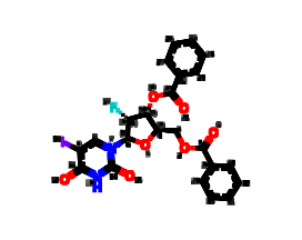 O=C(OC[C@H]1O[C@@H](n2cc(I)c(=O)[nH]c2=O)[C@H](F)[C@@H]1OC(=O)c1ccccc1)c1ccccc1